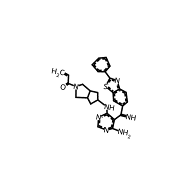 C=CC(=O)N1CC2CC(Nc3ncnc(N)c3C(=N)c3ccc4nc(-c5ccccc5)sc4c3)CC2C1